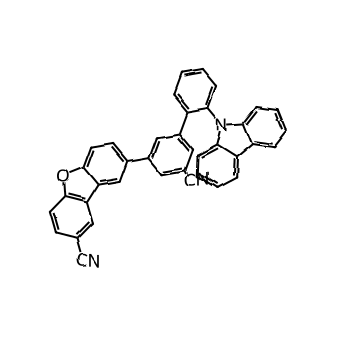 N#Cc1cc(-c2ccc3oc4ccc(C#N)cc4c3c2)cc(-c2ccccc2-n2c3ccccc3c3ccccc32)c1